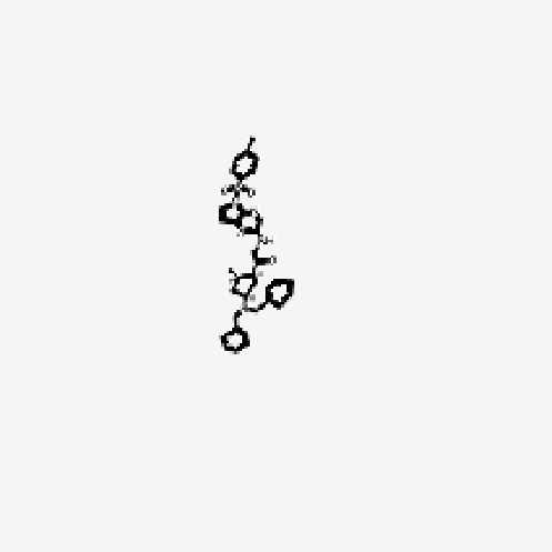 Cc1ccc(S(=O)(=O)n2ccc3nc(NCC(=O)[C@H]4C[C@@H](N(Cc5ccccc5)Cc5ccccc5)C[C@H]4C)cnc32)cc1